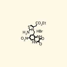 Br.CCOC(=O)CC1=CSC(N)N1Cc1cc([N+](=O)[O-])cc2[nH]c(=O)c(=O)[nH]c12